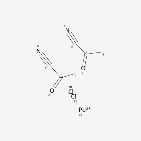 CC(=O)C#N.CC(=O)C#N.[Cl-].[Cl-].[Pd+2]